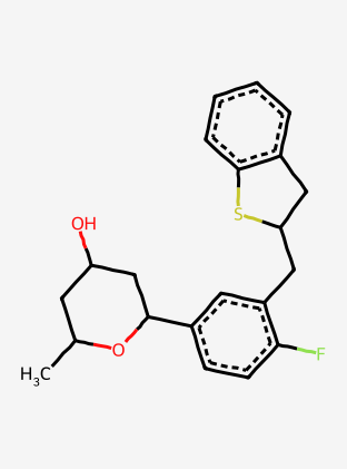 CC1CC(O)CC(c2ccc(F)c(CC3Cc4ccccc4S3)c2)O1